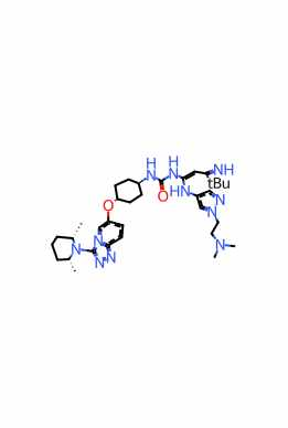 C[C@@H]1CCC[C@H](C)N1c1nnc2ccc(O[C@H]3CC[C@H](NC(=O)N/C(=C/C(=N)C(C)(C)C)Nc4cnn(CCN(C)C)c4)CC3)cn12